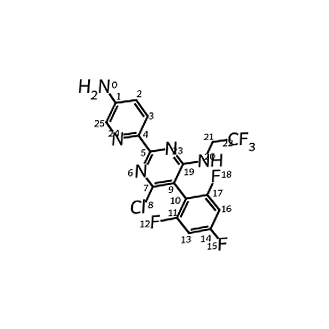 Nc1ccc(-c2nc(Cl)c(-c3c(F)cc(F)cc3F)c(NCC(F)(F)F)n2)nc1